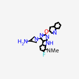 CNc1c(F)ccc2c1[nH]c1nc(Oc3cnc4ccccc4c3)nc(N3CC4C(N)C4C3)c12